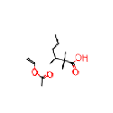 C=COC(C)=O.CCCC(C)C(C)(C)C(=O)O